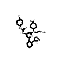 COCCN(c1cc(NC(=O)Nc2ccc(F)cc2)cc(-c2ccccc2-c2nnn[nH]2)n1)C1CCC(F)(F)CC1